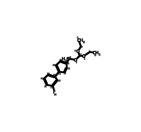 CCOC(OCC)O[SiH2]c1ccc(-c2cccc(F)c2)cc1